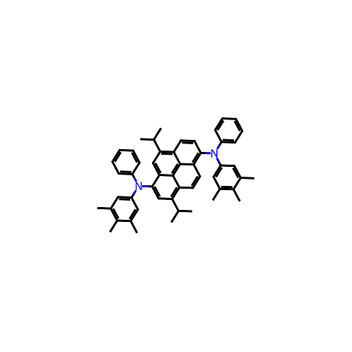 Cc1cc(N(c2ccccc2)c2ccc3c(C(C)C)cc4c(N(c5ccccc5)c5cc(C)c(C)c(C)c5)cc(C(C)C)c5ccc2c3c54)cc(C)c1C